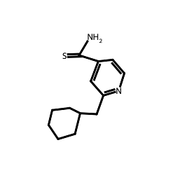 NC(=S)c1ccnc(CC2CCCCC2)c1